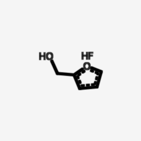 F.OCc1ccco1